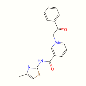 Cc1csc(NC(=O)c2ccc[n+](CC(=O)c3ccccc3)c2)n1